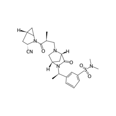 C[C@H](c1cccc(S(=O)(=O)N(C)C)c1)N1C(=O)[C@@H]2C[C@H]1CN2C[C@H](C)C(=O)N1C2C[C@H]2C[C@H]1C#N